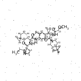 CCn1nccc1C(=O)N[C@H](C(=O)Nc1ccc(C2([C@@H](NC(=O)COC)C(=O)N3CCC4(CC3)CC4(F)F)CC2)cc1F)[C@H]1CCCC2(CC2)C1